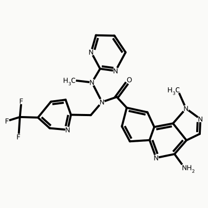 CN(c1ncccn1)N(Cc1ccc(C(F)(F)F)cn1)C(=O)c1ccc2nc(N)c3cnn(C)c3c2c1